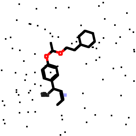 C/C=C\C(c1ccc(OC(C)OCCC2CCCCC2)cc1)C(C)(C)C